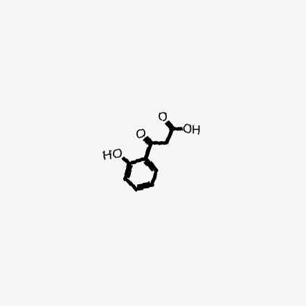 O=C(O)CC(=O)c1ccccc1O